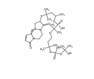 CCCC(C)(C)OP(=O)(O)OC(C)(C)CCOC(C)(C)P(=O)(O)OC(C)CC(C)(C)SC1CC(=O)N(CCN2C(=O)C=CC2=O)C1=O